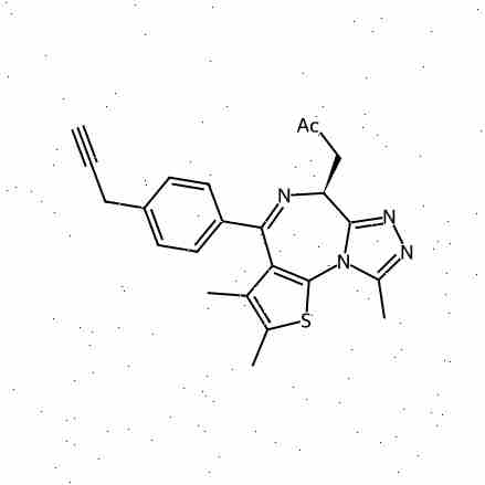 C#CCc1ccc(C2=N[C@@H](CC(C)=O)c3nnc(C)n3-c3sc(C)c(C)c32)cc1